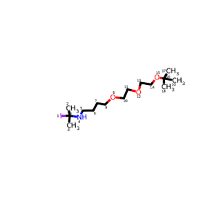 CC(C)(I)NCCCCOCCOCCOC(C)(C)C